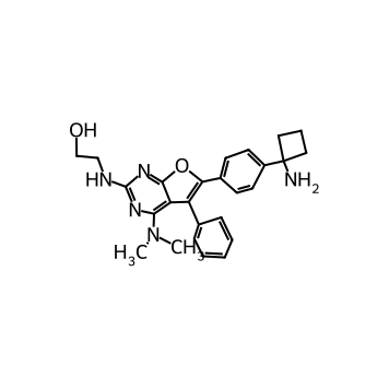 CN(C)c1nc(NCCO)nc2oc(-c3ccc(C4(N)CCC4)cc3)c(-c3ccccc3)c12